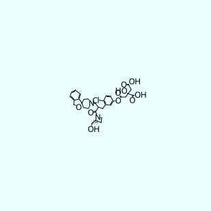 O=C(O)CC(O)(CC(=O)Oc1ccc(Cl)c(CC(CN2CCC3(CC2)OCc2ccccc23)C(=O)N2CC[C@H]2CO)c1)C(=O)O